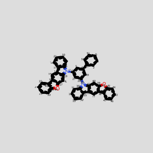 c1ccc(-c2cc(-n3c4ccccc4c4cc5c(cc43)oc3ccccc35)cc(-n3c4ccccc4c4cc5c(cc43)oc3ccccc35)c2)cc1